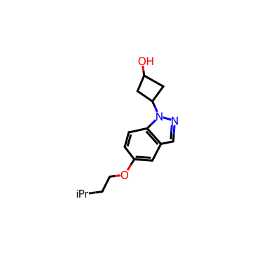 CC(C)CCOc1ccc2c(cnn2C2CC(O)C2)c1